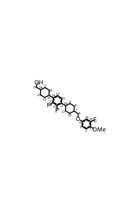 COc1ccc(OCC2CCC(c3ccc(C4CCC(CO)CC4)c(F)c3F)CC2)cc1F